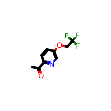 CC(=O)c1ccc(OCC(F)(F)F)cn1